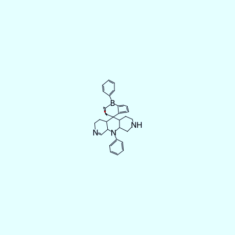 C1=NCCC2C1N(c1ccccc1)C1CNCCC1C21c2ccccc2B(c2ccccc2)c2ccccc21